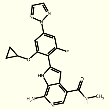 CNC(=O)c1cnc(N)c2[nH]c(-c3c(F)cc(-n4nccn4)cc3OC3CC3)cc12